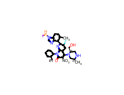 Cc1ccc2c(ncn2PI)c1-c1nc2c(cc1F)c(N1C[C@@H](C)NC[C@@H]1CO)c([N+](=O)[O-])c(=O)n2-c1ccccc1C(C)C